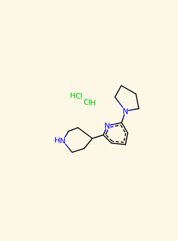 Cl.Cl.c1cc(C2CCNCC2)nc(N2CCCC2)c1